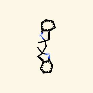 CC1(CC2(C)C=c3ccccc3=N2)C=c2ccccc2=N1